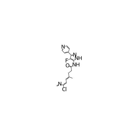 C=N/C(Cl)=C\C=C(/C)CCC(=O)Nc1[nH]nc(-c2ccncc2)c1F